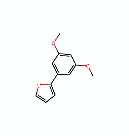 COc1cc(OC)cc(-c2ccco2)c1